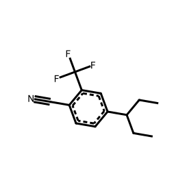 CCC(CC)c1ccc(C#N)c(C(F)(F)F)c1